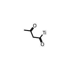 CC(=O)C[C](=O)[Ti]